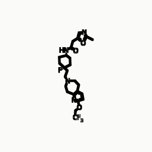 Cc1ncc(CC(=O)N[C@H]2CC[C@](F)(CCN3CCc4ccc(OCC(F)(F)F)nc4CC3)CC2)o1